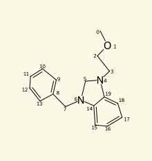 COCCN1CN(Cc2ccccc2)c2ccccc21